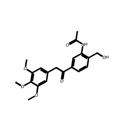 COc1cc(CC(=O)c2ccc(CO)c(NC(C)=O)c2)cc(OC)c1OC